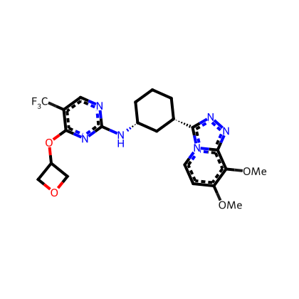 COc1ccn2c([C@H]3CCC[C@@H](Nc4ncc(C(F)(F)F)c(OC5COC5)n4)C3)nnc2c1OC